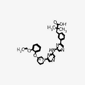 CCOc1ccccc1O[C@@H]1CCCN(c2cncc(Nc3cncc(-c4cccc(CC(C)(C)C(=O)O)c4)n3)n2)C1